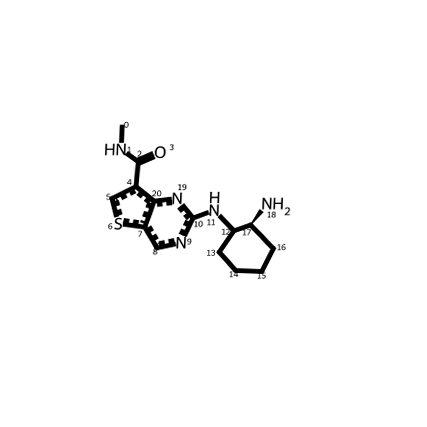 CNC(=O)c1csc2cnc(NC3CCCC[C@@H]3N)nc12